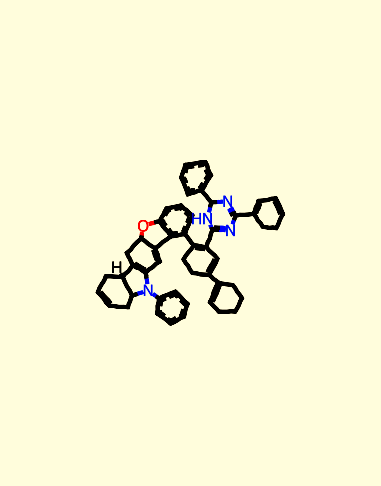 C1=CCCC(C2=NC(c3ccccc3)NC(C3=C(c4cccc5c4C4=CC6=C(CC4O5)[C@H]4CC=CCC4N6c4ccccc4)CCC(C4=CCCCC4)=C3)=N2)=C1